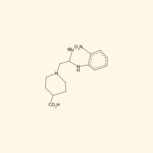 CC(C)(C)C(CN1CCC(C(=O)O)CC1)Nc1ccccc1[N+](=O)[O-]